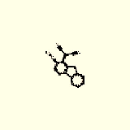 N#CC(C#N)=c1c2c(ccc1=C=O)-c1ccccc1C2